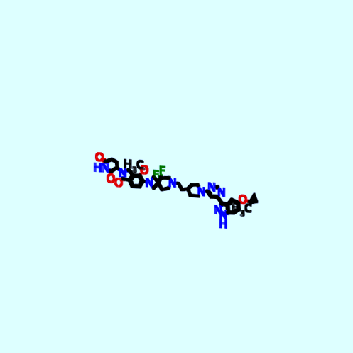 COc1c(N2CC3(CCN(CCC4CCN(c5cc(-c6n[nH]c7ccc(OC8(C)CC8)cc67)ncn5)CC4)CC3(F)F)C2)ccc2c1CN(C1CCC(=O)NC1=O)C2=O